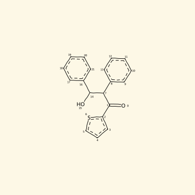 O=C(c1cccs1)C(c1ccccc1)C(O)c1ccccc1